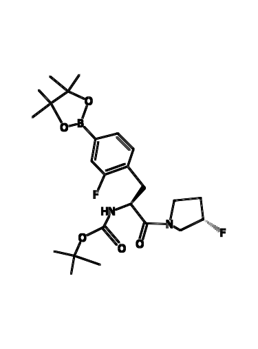 CC(C)(C)OC(=O)N[C@@H](Cc1ccc(B2OC(C)(C)C(C)(C)O2)cc1F)C(=O)N1CC[C@H](F)C1